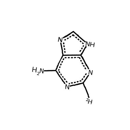 [2H]c1nc(N)c2nc[nH]c2n1